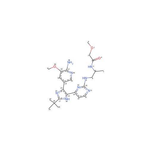 COCC(=O)NC(C)CNc1nccc(-c2[nH]c(C(C)(C)C)nc2-c2cnc(N)c(OC)c2)n1